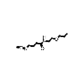 C=C=NCCCC(=O)NCCOCCC